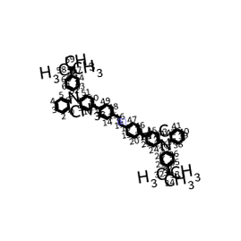 Cc1ccccc1N(c1ccc(-c2ccc(/C=C/c3ccc(-c4ccc(N(c5ccc(C(C)(C)C)cc5)c5ccccc5C)cc4)cc3)cc2)cc1)c1ccc(C(C)(C)C)cc1